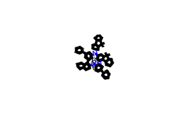 CC1(C)c2ccccc2-c2ccc(N3c4cc5c(cc4Bc4c(-c6c(Nc7ccc(-c8ccccc8)cc7)ccc7ccccc67)cc(-c6ccccc6)cc43)-c3ccccc3C5(C)C)cc21